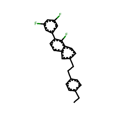 CCc1ccc(CCc2ccc3c(F)c(-c4cc(F)cc(F)c4)ccc3c2)cc1